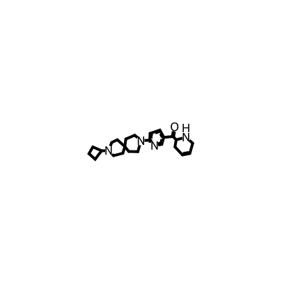 O=C(c1ccc(N2CCC3(CC2)CCN(C2CCC2)CC3)nc1)C1CC=CCN1